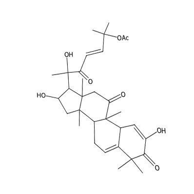 CC(=O)OC(C)(C)C=CC(=O)C(C)(O)C1C(O)CC2(C)C3CC=C4C(C=C(O)C(=O)C4(C)C)C3(C)C(=O)CC12C